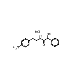 Cl.Nc1ccc(CCNC(=O)C(O)c2ccccc2)cc1